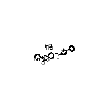 Cl.Cl.O=C1O[C@]2(CC[C@H](CNc3ccc(-c4ccccc4)cn3)CC2)CN1c1cccnn1